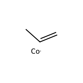 C=CC.[Co]